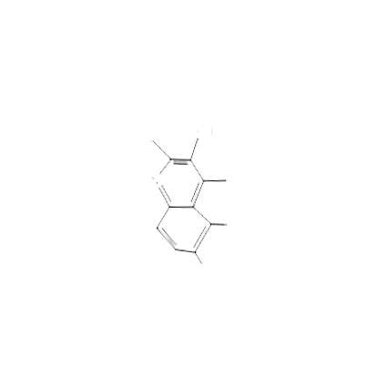 Oc1c(Cl)nc2ccc(F)c(O)c2c1Cl